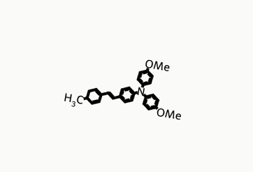 COc1ccc(N(c2ccc(/C=C/C3=CCC(C)C=C3)cc2)c2ccc(OC)cc2)cc1